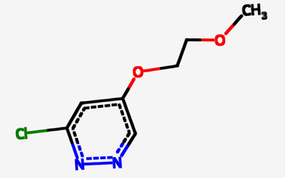 COCCOc1cnnc(Cl)c1